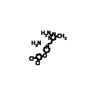 Cc1cc(CCN2CCC(Oc3ccc(Cl)c(Cl)c3)CC2)nc(N)n1.N